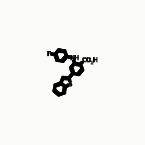 O=C(O)c1ccc(-c2cc3ccccc3s2)cc1Nc1ccc(F)cc1